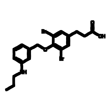 CCCNc1cccc(COc2c(Br)cc(CCC(=O)O)cc2Br)c1